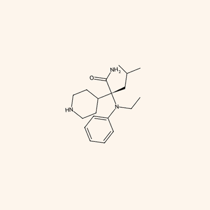 CCN(c1ccccc1)[C@@](CC(C)C)(C(N)=O)C1CCNCC1